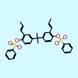 CC=Cc1cc(C(C)(C)c2ccc(OS(=O)(=O)c3ccccc3)c(C=CC)c2)ccc1OS(=O)(=O)c1ccccc1